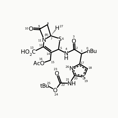 CCCCC(C(=O)NC1S[C@@H]2CC(=O)N2C(C(=O)O)=C1COC(C)=O)c1csc(NC(=O)OC(C)(C)C)n1